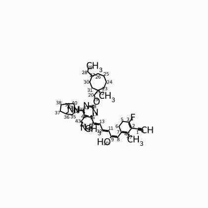 C#CC1=C(F)CCC(\C=C(O)/C=C/C=C(\F)c2nc(OCC3(C)CCCCC(CC)CC3)nc(N3CC4CCC(C3)N4)c2/C=N\C)=C1C